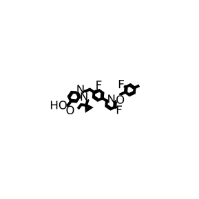 CCC1(Cn2c(Cc3ccc(-c4ccc(F)c(OCc5ccc(C)cc5F)n4)cc3F)nc3ccc(C(=O)O)cc32)CC1